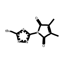 CC1=C(C)C(=O)N(c2nnc(C(C)(C)C)s2)C1=O